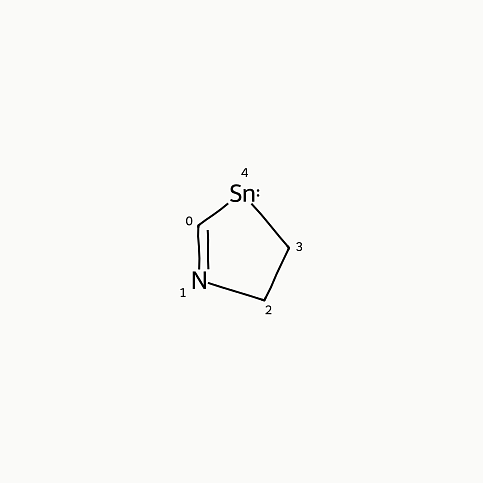 [CH]1=NC[CH2][Sn]1